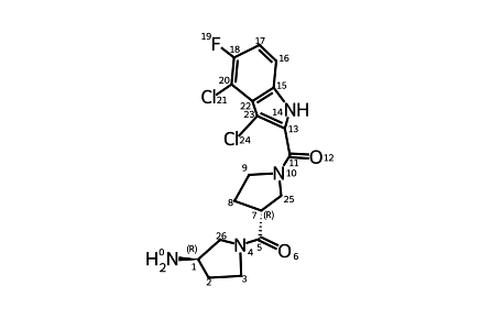 N[C@@H]1CCN(C(=O)[C@@H]2CCN(C(=O)c3[nH]c4ccc(F)c(Cl)c4c3Cl)C2)C1